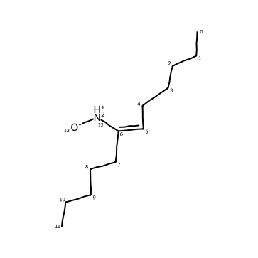 CCCCCC=C(CCCCC)[NH2+][O-]